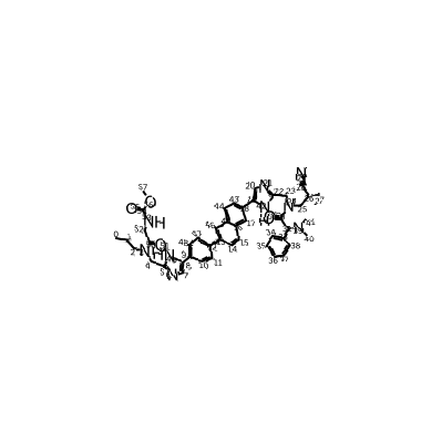 CCCN(Cc1ncc(-c2ccc(-c3ccc4cc(-c5cnc(CN(C[C@H](C)C#N)C(=O)[C@@H](c6ccccc6)N(C)C)[nH]5)ccc4c3)cc2)[nH]1)C(=O)CNC(=O)OC